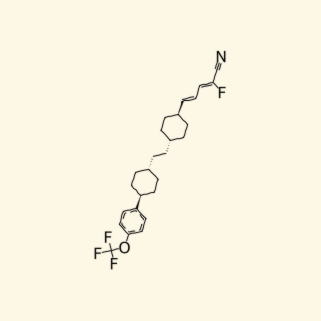 N#CC(F)=CC=C[C@H]1CC[C@H](CC[C@H]2CC[C@H](c3ccc(OC(F)(F)F)cc3)CC2)CC1